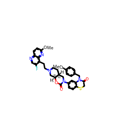 COc1ccc(CN2C(=O)CSc3ccc(N4C[C@H]5CCN(CCc6c(F)cnc7ccc(OC)nc67)C[C@@H]5OC4=O)cc32)cc1